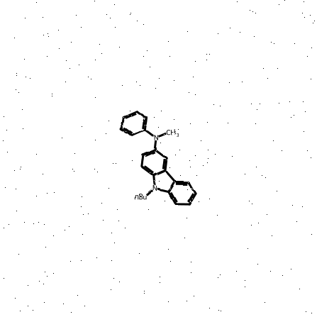 CCCCn1c2ccccc2c2cc(N(C)c3ccccc3)ccc21